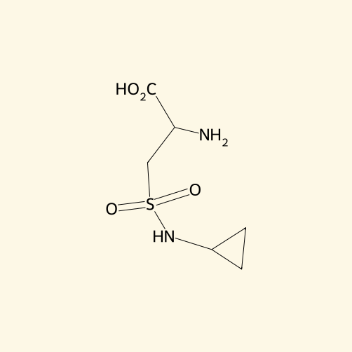 NC(CS(=O)(=O)NC1CC1)C(=O)O